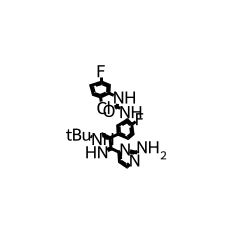 CC(C)(C)N/C=C(\C(=N)c1ccnc(N)n1)c1ccc(F)c(NC(=O)Nc2cc(F)ccc2Cl)c1